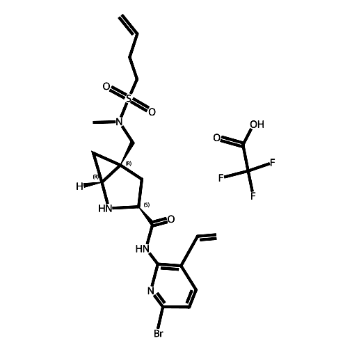 C=CCCS(=O)(=O)N(C)C[C@@]12C[C@@H](C(=O)Nc3nc(Br)ccc3C=C)N[C@@H]1C2.O=C(O)C(F)(F)F